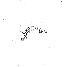 CCOc1cc(Cl)c2nc(O[C@H]3CC[C@H](OC[C@H](C)NC(C)=O)CC3)n(C)c2c1